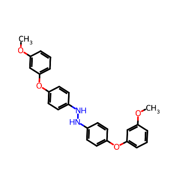 COc1cccc(Oc2ccc(NNc3ccc(Oc4cccc(OC)c4)cc3)cc2)c1